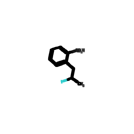 CC(F)Cc1ccccc1S(=O)(=O)O